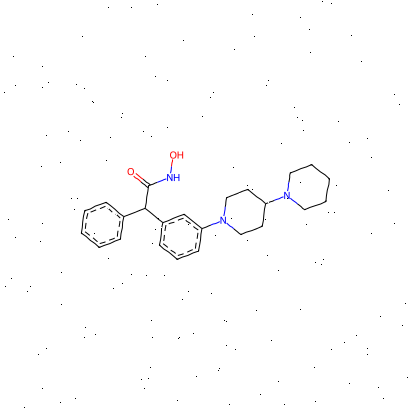 O=C(NO)C(c1ccccc1)c1cccc(N2CCC(N3CCCCC3)CC2)c1